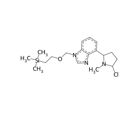 CN1C(Cl)CCC1c1cccc2c1ncn2COCC[Si](C)(C)C